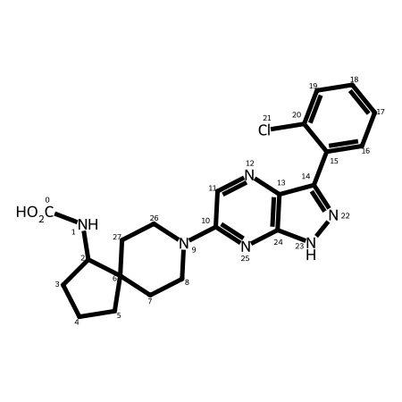 O=C(O)NC1CCCC12CCN(c1cnc3c(-c4ccccc4Cl)n[nH]c3n1)CC2